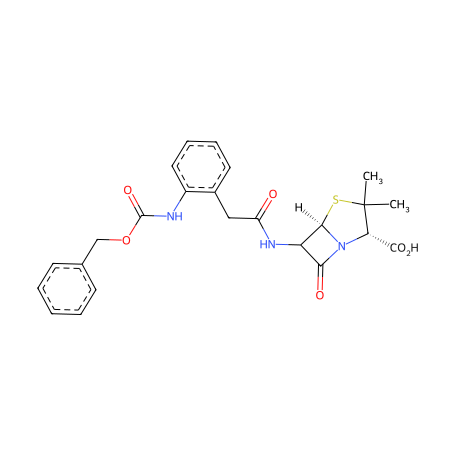 CC1(C)S[C@@H]2C(NC(=O)Cc3ccccc3NC(=O)OCc3ccccc3)C(=O)N2[C@H]1C(=O)O